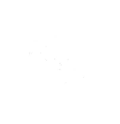 CCOC(=O)c1c(C)nc2c(ccn2Cc2ccc(F)c(F)c2)c1O